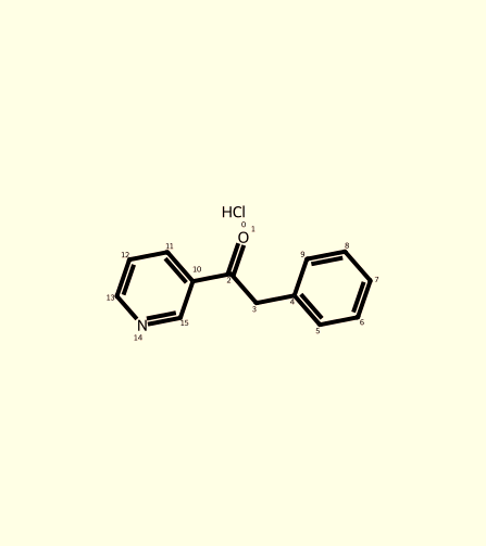 Cl.O=C(Cc1ccccc1)c1cccnc1